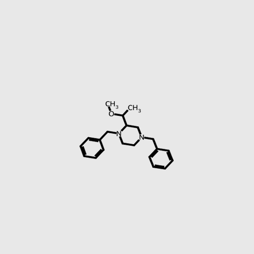 COC(C)C1CN(Cc2ccccc2)CCN1Cc1ccccc1